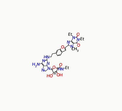 CCNC(=O)[C@H]1O[C@@H](n2cnc3c(N)nc(NCCc4ccc5cc(-c6nc7c(c(=O)n(CC)c(=O)n7CC)n6C)oc5c4)nc32)[C@H](O)[C@@H]1O